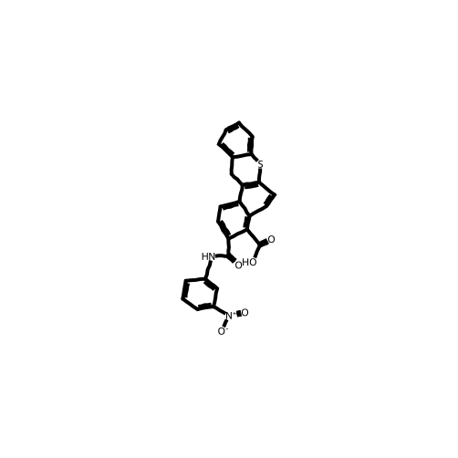 O=C(Nc1cccc([N+](=O)[O-])c1)c1ccc2c3c(ccc2c1C(=O)O)Sc1ccccc1C3